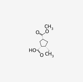 CC[C@H]1C[C@@H](C(=O)OC)C[C@H]1C(=O)O